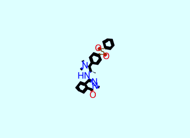 C[C@H](Nc1nn(C)c(=O)c2ccccc12)[C@@H](c1ccc(S(=O)(=O)c2ccccc2)cc1)N(C)C